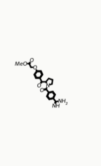 COC(=O)COc1ccc(C(=O)C2CCCN2C(=O)c2ccc(C(=N)N)cc2)cc1